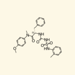 COc1ccc(N(C)C(=O)[C@H](Cc2ccccc2)NC(=O)NS(=O)(=O)Nc2ccccc2C)cc1